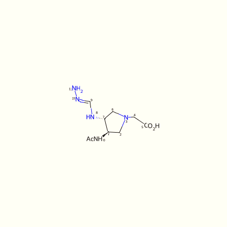 CC(=O)N[C@@H]1CN(CC(=O)O)C[C@H]1NC=NN